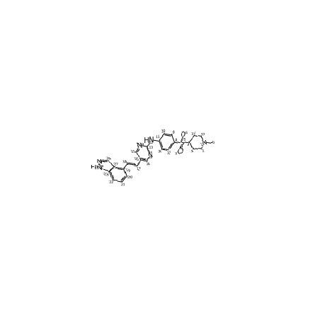 CN1CCC(S(=O)(=O)c2ccc(Nc3ncc(C=Cc4cccc5[nH]ncc45)cn3)cc2)CC1